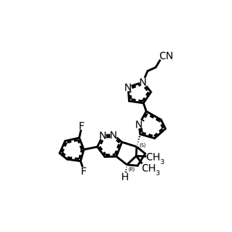 CC1(C)[C@H]2CC[C@]1(c1cccc(-c3cnn(CCC#N)c3)n1)c1nnc(-c3c(F)cccc3F)cc12